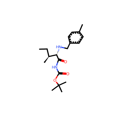 CC[C@H](C)[C@H](NCc1ccc(C)cc1)C(=O)NC(=O)OC(C)(C)C